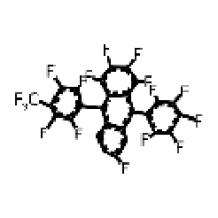 Fc1ccc2c(-c3c(F)c(F)c(C(F)(F)F)c(F)c3F)c3c(F)c(F)c(F)c(F)c3c(-c3c(F)c(F)c(F)c(F)c3F)c2c1